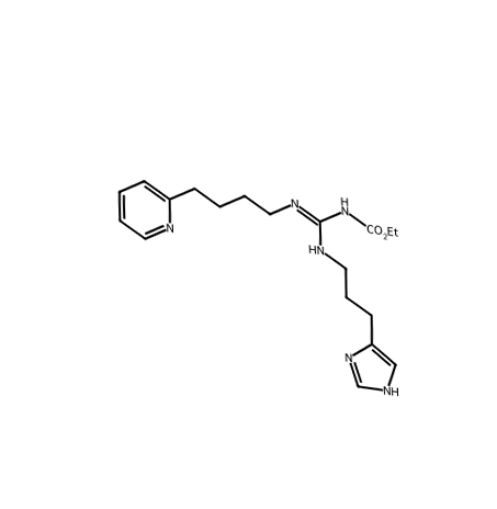 CCOC(=O)NC(=NCCCCc1ccccn1)NCCCc1c[nH]cn1